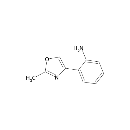 Cc1nc(-c2ccccc2N)co1